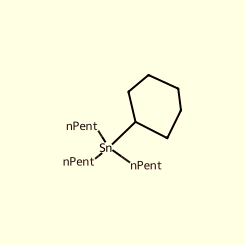 CCCC[CH2][Sn]([CH2]CCCC)([CH2]CCCC)[CH]1CCCCC1